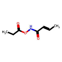 CC=CC(=O)NOC(=O)CC